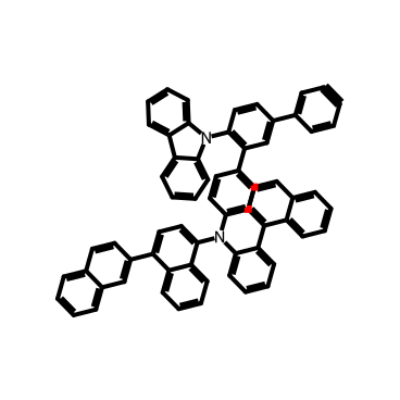 c1ccc(-c2ccc(-n3c4ccccc4c4ccccc43)c(-c3ccc(N(c4ccccc4-c4cccc5ccccc45)c4ccc(-c5ccc6ccccc6c5)c5ccccc45)cc3)c2)cc#1